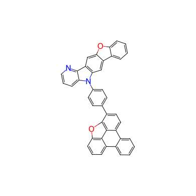 c1ccc2c(c1)oc1cc3c4ncccc4n(-c4ccc(-c5ccc6c7ccccc7c7cccc8oc5c6c87)cc4)c3cc12